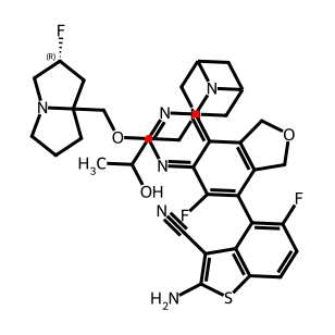 CC(O)CCN1CC2CC(C1)N2c1nc(OCC23CCCN2C[C@H](F)C3)nc2c(F)c(-c3c(F)ccc4sc(N)c(C#N)c34)c3c(c12)COC3